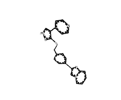 c1ccn2cc(-c3ccc(COc4n[nH]cc4-c4ccncc4)cc3)nc2c1